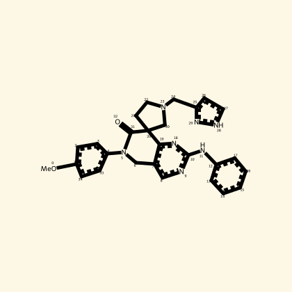 COc1ccc(N2Cc3cnc(Nc4ccccc4)nc3C3(CCN(Cc4cc[nH]n4)C3)C2=O)cc1